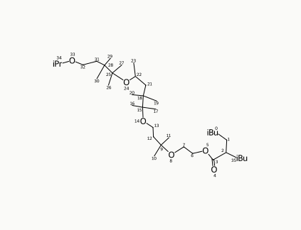 CCC(C)CC(C(=O)OCCOC(C)(C)CCOC(C)(C)C(C)(C)CC(C)OC(C)(C)C(C)(C)CCOC(C)C)C(C)CC